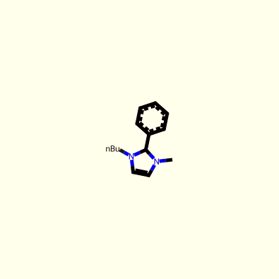 CCCCN1C=CN(C)C1c1ccccc1